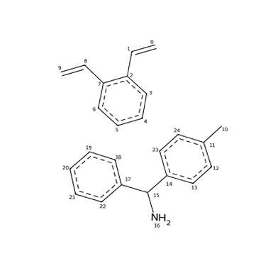 C=Cc1ccccc1C=C.Cc1ccc(C(N)c2ccccc2)cc1